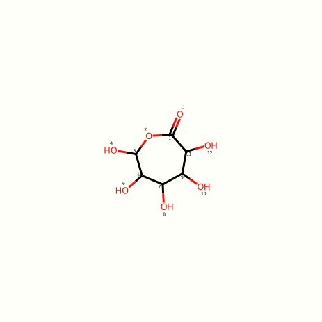 O=C1OC(O)C(O)C(O)C(O)C1O